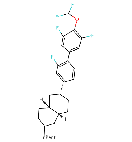 CCCCCC1CC[C@@H]2C[C@H](c3ccc(-c4cc(F)c(OC(F)F)c(F)c4)c(F)c3)CC[C@@H]2C1